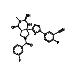 CN1C(=N)NC2(c3ccc(-c4ccc(F)c(C#N)c4)s3)CN(C(=O)c3cccc(F)c3)CC2C1=O